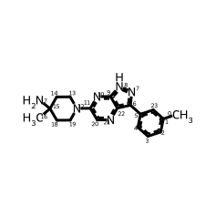 Cc1cccc(-c2n[nH]c3nc(N4CCC(C)(N)CC4)cnc23)c1